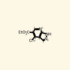 CCOC(=O)c1cnc2[nH]ncc2c1Cl